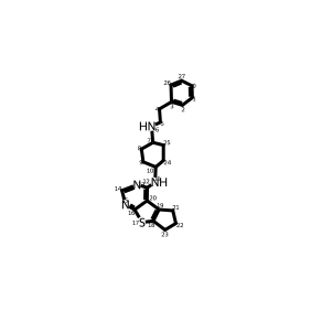 c1ccc(CCNC2CCC(Nc3ncnc4sc5c(c34)CCC5)CC2)cc1